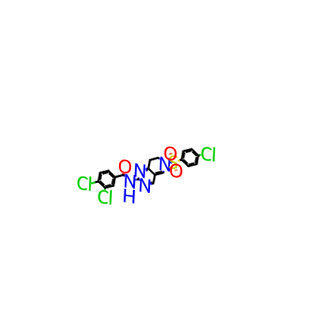 O=C(NC1N=CC2=CN(S(=O)(=O)c3ccc(Cl)cc3)CCC2=N1)c1ccc(Cl)c(Cl)c1